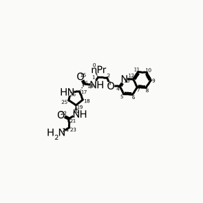 CCC[C@H](COc1ccc2ccccc2n1)NC(=O)[C@@H]1C[C@@H](NC(=O)CN)CN1